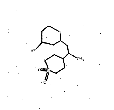 CC(C)C1CCSC(CC(C)C2CCS(=O)(=O)CC2)C1